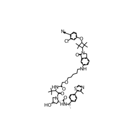 Cc1ncsc1-c1ccc([C@H](C)NC(=O)[C@@H]2C[C@@H](O)CN2C(=O)C(NC(=O)COCCCCCNc2ccc3c(c2)C(=O)N(C2C(C)(C)C(Oc4ccc(C#N)c(Cl)c4)C2(C)C)C3)C(C)(C)C)cc1